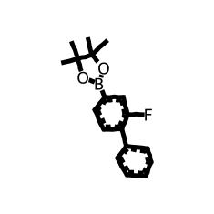 CC1(C)OB(c2ccc(-c3ccccc3)c(F)c2)OC1(C)C